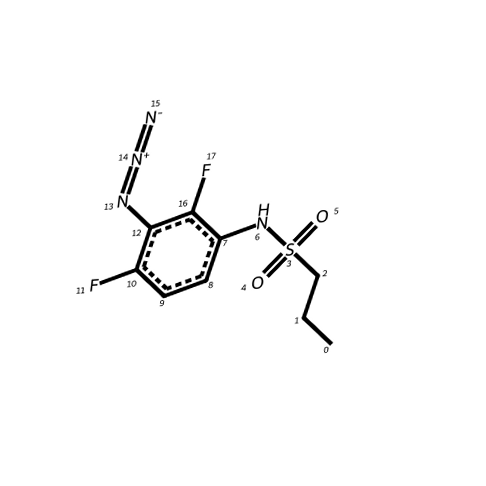 CCCS(=O)(=O)Nc1ccc(F)c(N=[N+]=[N-])c1F